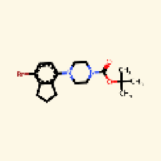 CC(C)(C)OC(=O)N1CCN(c2ccc(Br)c3c2CCC3)CC1